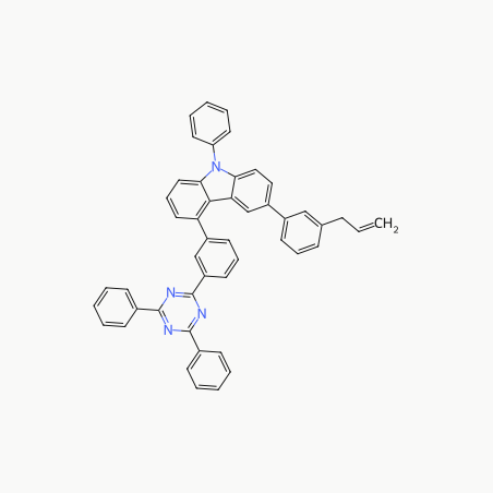 C=CCc1cccc(-c2ccc3c(c2)c2c(-c4cccc(-c5nc(-c6ccccc6)nc(-c6ccccc6)n5)c4)cccc2n3-c2ccccc2)c1